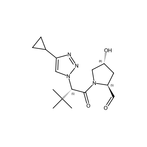 CC(C)(C)[C@@H](C(=O)N1C[C@H](O)C[C@H]1C=O)n1cc(C2CC2)nn1